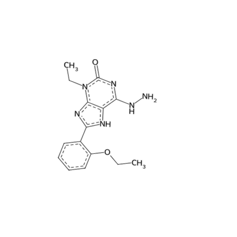 CCOc1ccccc1-c1nc2c([nH]1)c(NN)nc(=O)n2CC